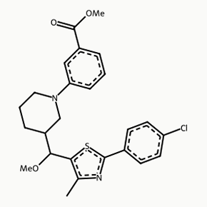 COC(=O)c1cccc(N2CCCC(C(OC)c3sc(-c4ccc(Cl)cc4)nc3C)C2)c1